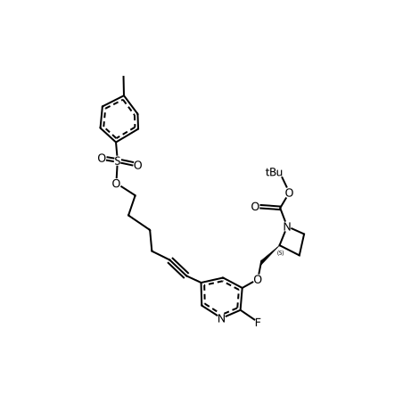 Cc1ccc(S(=O)(=O)OCCCCC#Cc2cnc(F)c(OC[C@@H]3CCN3C(=O)OC(C)(C)C)c2)cc1